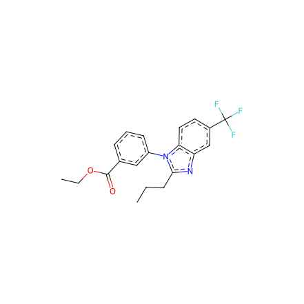 CCCc1nc2cc(C(F)(F)F)ccc2n1-c1cccc(C(=O)OCC)c1